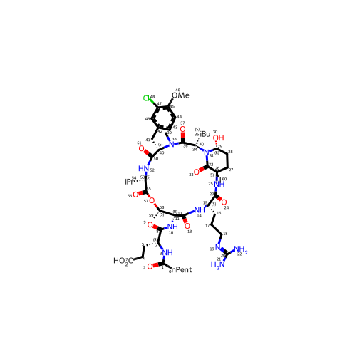 CCCCCC(=O)N[C@H](CCC(=O)O)C(=O)N[C@H]1C(=O)N[C@@H](CCCN=C(N)N)C(=O)N[C@H]2CC[C@@H](O)N(C2=O)[C@H]([C@@H](C)CC)C(=O)N(C)[C@@H](Cc2ccc(OC)c(Cl)c2)C(=O)N[C@@H](C(C)C)C(=O)O[C@H]1C